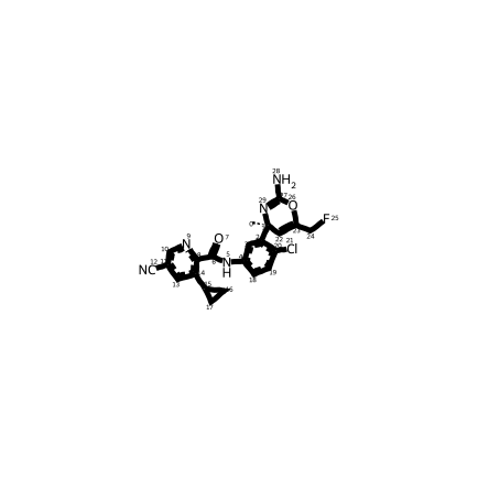 C[C@@]1(c2cc(NC(=O)c3ncc(C#N)cc3C3CC3)ccc2Cl)C=C(CF)OC(N)=N1